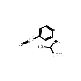 C=O.CCCCCC(N)N.Oc1ccccc1